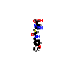 COc1ccc(CNC(=O)CSc2nc(C(=O)O)c[nH]2)cc1